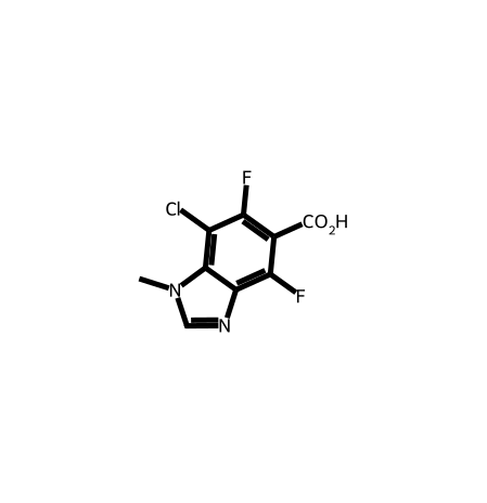 Cn1cnc2c(F)c(C(=O)O)c(F)c(Cl)c21